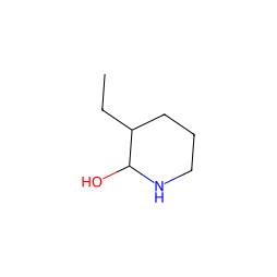 CCC1CCCNC1O